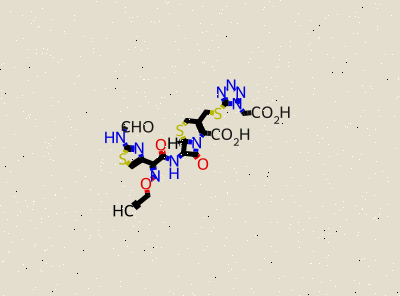 C#CCON=C(C(=O)NC1C(=O)N2C(C(=O)O)=C(CSc3nnnn3CC(=O)O)CS[C@@H]12)c1csc(NC=O)n1